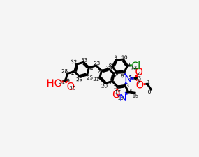 CCOC(=O)N(c1ccccc1Cl)c1c(C)noc1-c1ccc(Cc2ccc(CC(=O)O)cc2)cc1